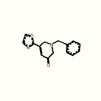 O=C1C=C(c2ncco2)CN(Cc2ccccc2)C1